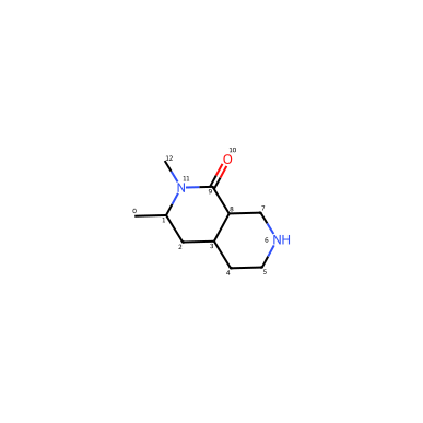 CC1CC2CCNCC2C(=O)N1C